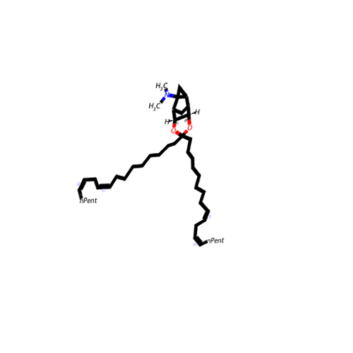 CCCCC/C=C\C/C=C\CCCCCCCCC1(CCCCCCCC/C=C\C/C=C\CCCCC)O[C@@H]2C3CC([C@@H]2O1)C1(N(C)C)CC31